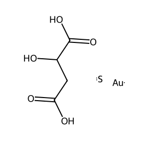 O=C(O)CC(O)C(=O)O.[Au].[S]